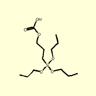 CCCO[Si](CCCOC(=O)O)(OCCC)OCCC